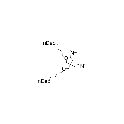 CCCCCCCCCCCCCCOCC(CCN(C)C)(CCN(C)C)COCCCCCCCCCCCCCC